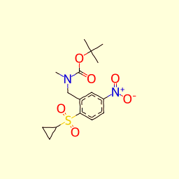 CN(Cc1cc([N+](=O)[O-])ccc1S(=O)(=O)C1CC1)C(=O)OC(C)(C)C